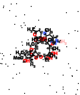 Bn1cc(CCN(C)[C@H]2CC(C)O[C@H](O[C@@H]3[C@@H](C)[C@H](O[C@H]4C[C@@](C)(OC)[C@@H](O)[C@@H](C)O4)[C@@H](C)C(=O)O[C@H](CC)[C@@](C)(O)C(O)[C@H](C)C(=O)[C@H](C)C[C@@]3(C)O)[C@@H]2O)nn1